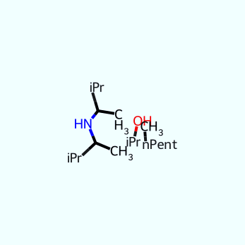 CC(C)C(C)NC(C)C(C)C.CC(C)O.CCCCCC